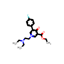 CCOC(=O)c1cn(CCN(CC)CC)cc(-c2ccc(F)cc2)c1=O